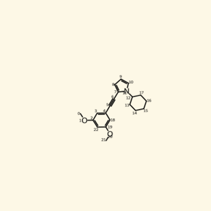 COc1cc(C#Cc2cccn2C2CCCCC2)cc(OC)c1